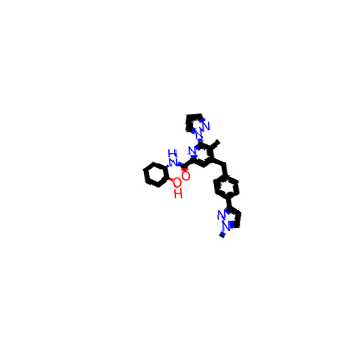 Cc1c(Cc2ccc(-c3ccn(C)n3)cc2)cc(C(=O)N[C@H]2CCCC[C@@H]2O)nc1-n1cccn1